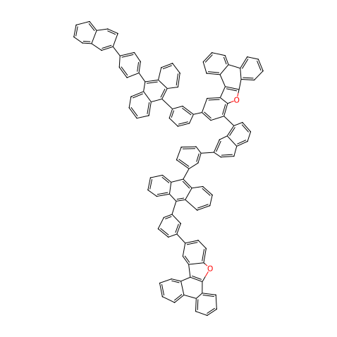 c1cc(-c2cc(-c3cccc4ccc(-c5cccc(-c6c7ccccc7c(-c7cccc(-c8ccc9oc%10c%11ccccc%11c%11ccccc%11c%10c9c8)c7)c7ccccc67)c5)cc34)c3oc4c5ccccc5c5ccccc5c4c3c2)cc(-c2c3ccccc3c(-c3ccc(-c4ccc5ccccc5c4)cc3)c3ccccc23)c1